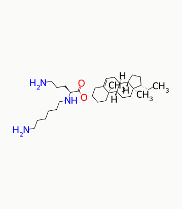 CC[C@H]1CC[C@H]2[C@@H]3CC=C4C[C@@H](OC(=O)[C@H](CCCN)NCCCCCCN)CC[C@]4(C)[C@H]3CC[C@]12C